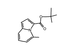 Cc1cccc2ccc(C(=O)OC(C)(C)C)n12